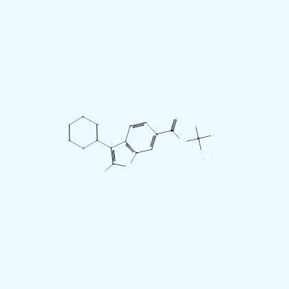 Cc1[nH]c2cc(C(=O)OC(C)(C)C)ccc2c1C1CCCCC1